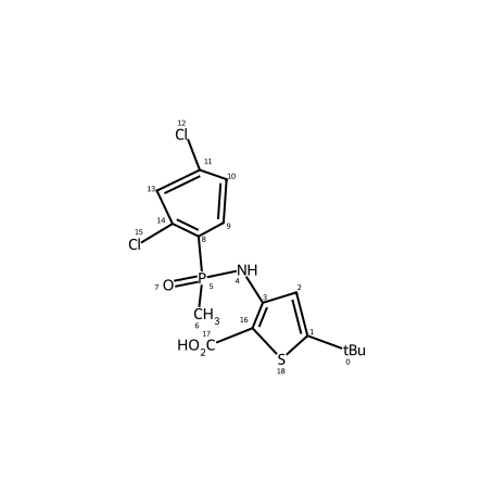 CC(C)(C)c1cc(NP(C)(=O)c2ccc(Cl)cc2Cl)c(C(=O)O)s1